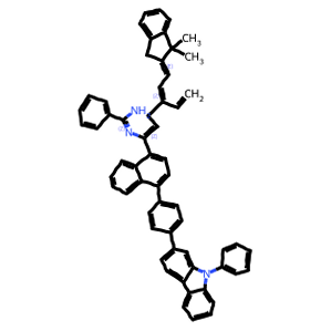 C=C/C(=C\C=C1/Cc2ccccc2C1(C)C)C/C=C(\N=C(/N)c1ccccc1)c1ccc(-c2ccc(-c3ccc4c5ccccc5n(-c5ccccc5)c4c3)cc2)c2ccccc12